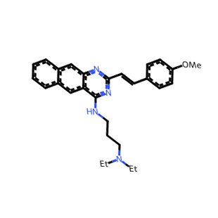 CCN(CC)CCCNc1nc(/C=C/c2ccc(OC)cc2)nc2cc3ccccc3cc12